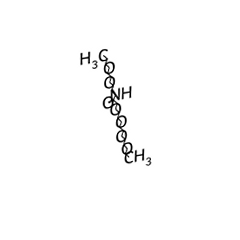 CCCOCCOCCNC(=O)COCCOCCOCCOCC